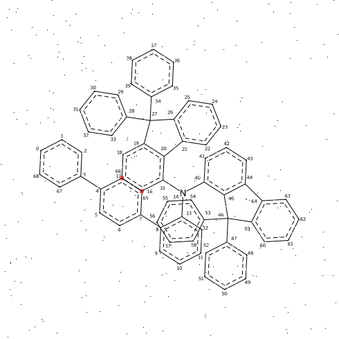 c1ccc(-c2ccc(-c3ccccc3N(c3cccc4c3-c3ccccc3C4(c3ccccc3)c3ccccc3)c3cccc4c3C(c3ccccc3)(c3ccccc3)c3ccccc3-4)cc2)cc1